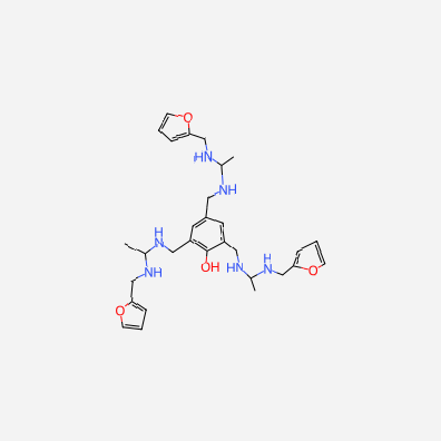 CC(NCc1cc(CNC(C)NCc2ccco2)c(O)c(CNC(C)NCc2ccco2)c1)NCc1ccco1